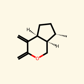 C=C1OC[C@H]2[C@H](CC[C@@H]2C)C1=C